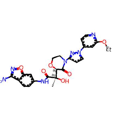 CCOc1cc(-n2ccc(N3CCO[C@H]([C@@](C)(O)C(=O)Nc4ccc5c(N)noc5c4)C3=O)n2)ccn1